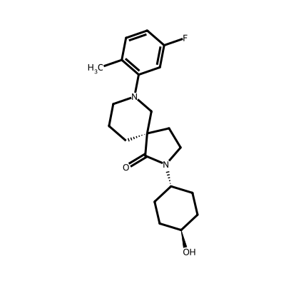 Cc1ccc(F)cc1N1CCC[C@@]2(CCN([C@H]3CC[C@H](O)CC3)C2=O)C1